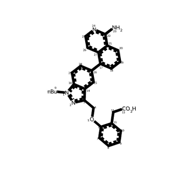 CCCCn1nc(COc2ccccc2CC(=O)O)c2cc(-c3cccc4c(N)nccc34)ccc21